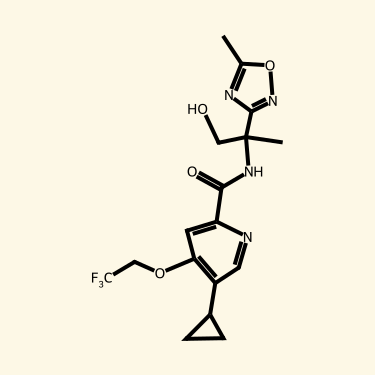 Cc1nc(C(C)(CO)NC(=O)c2cc(OCC(F)(F)F)c(C3CC3)cn2)no1